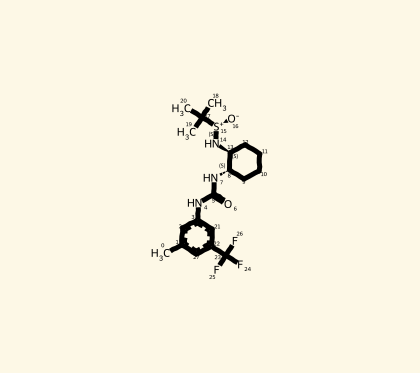 Cc1cc(NC(=O)N[C@H]2CCCC[C@@H]2N[S@+]([O-])C(C)(C)C)cc(C(F)(F)F)c1